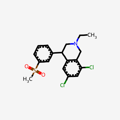 CCN1Cc2c(Cl)cc(Cl)cc2C(c2cccc(S(C)(=O)=O)c2)C1